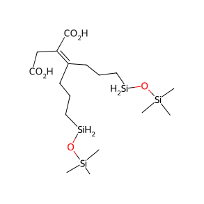 C[Si](C)(C)O[SiH2]CCCC(CCC[SiH2]O[Si](C)(C)C)=C(CC(=O)O)C(=O)O